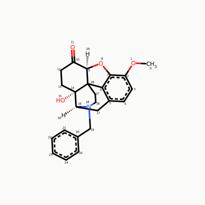 COc1ccc2c3c1O[C@@H]1C(=O)CC[C@]4(O)[C@H](C2)N(Cc2ccccc2)CCC314